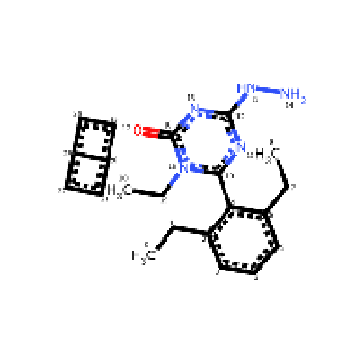 CCc1cccc(CC)c1-c1nc(NN)nc(=O)n1CC.c1cc2ccc1-2